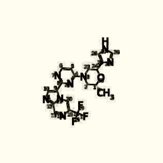 C[C@@H]1CN(c2ccnc(-c3cnc4cnc(C(F)(F)F)cn34)n2)C[C@@H](c2c[nH]cn2)O1